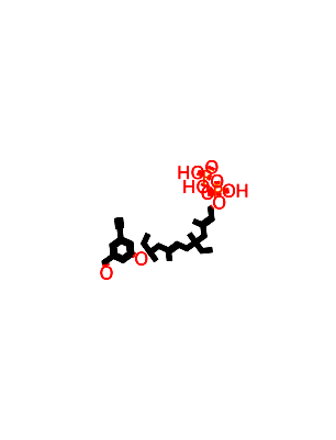 C#Cc1cc(C=O)cc(OC(C)(CC)C/C(C)=C/CC(C)(CC)C/C(C)=C/COP(=O)(O)OP(=O)(O)O)c1